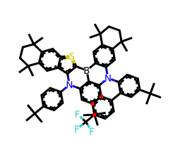 CC(C)(C)c1ccc(N2c3cc(C(C)(C)C)cc4c3B(c3cc5c(cc3N4c3ccc(C(C)(C)C)cc3-c3ccc(C(F)(F)F)cc3)C(C)(C)CCC5(C)C)c3sc4cc5c(cc4c32)C(C)(C)CCC5(C)C)cc1